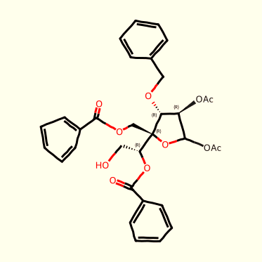 CC(=O)OC1O[C@](COC(=O)c2ccccc2)([C@@H](CO)OC(=O)c2ccccc2)[C@H](OCc2ccccc2)[C@H]1OC(C)=O